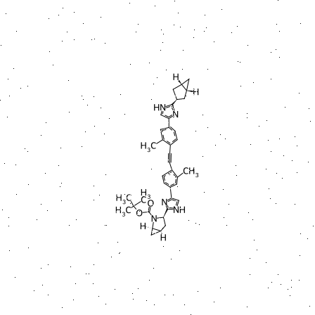 Cc1cc(-c2c[nH]c([C@H]3C[C@@H]4C[C@@H]4C3)n2)ccc1C#Cc1ccc(-c2c[nH]c([C@H]3C[C@H]4C[C@H]4N3C(=O)OC(C)(C)C)n2)cc1C